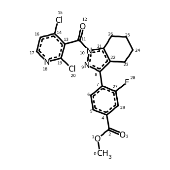 COC(=O)c1ccc(-c2nn(C(=O)c3c(Cl)ccnc3Cl)c3c2CCCC3)c(F)c1